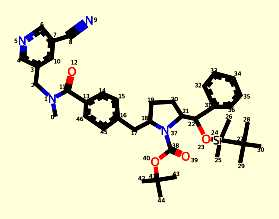 CN(Cc1cncc(C#N)c1)C(=O)c1ccc(CC2CCC(C(O[Si](C)(C)C(C)(C)C)c3ccccc3)N2C(=O)OC(C)(C)C)cc1